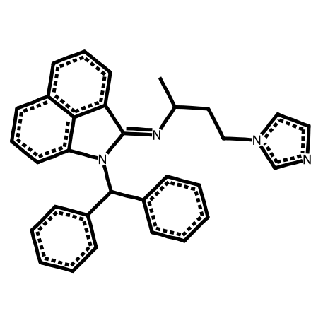 CC(CCn1ccnc1)N=C1c2cccc3cccc(c23)N1C(c1ccccc1)c1ccccc1